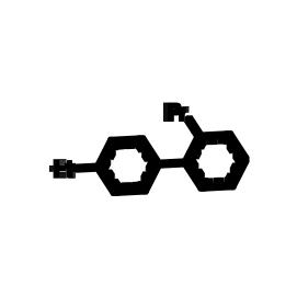 C[CH]c1ccc(-c2ccccc2C(C)C)cc1